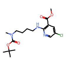 COC(=O)c1cc(Cl)cnc1NCCCCN(C)C(=O)OC(C)(C)C